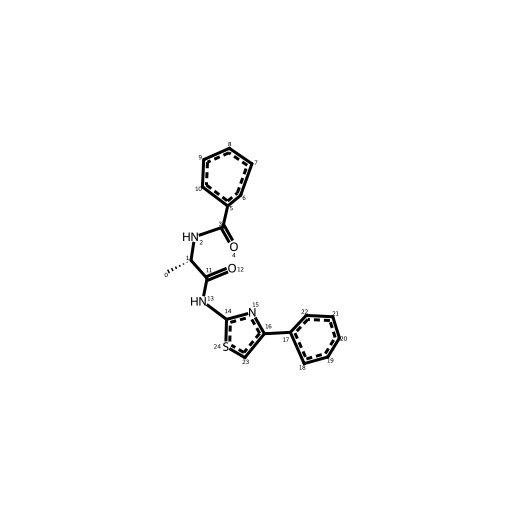 C[C@H](NC(=O)c1ccccc1)C(=O)Nc1nc(-c2ccccc2)cs1